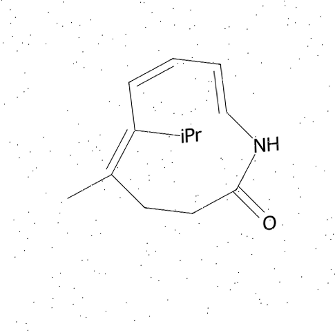 C\C1=C(C(C)C)/C=C\C=C\NC(=O)CC1